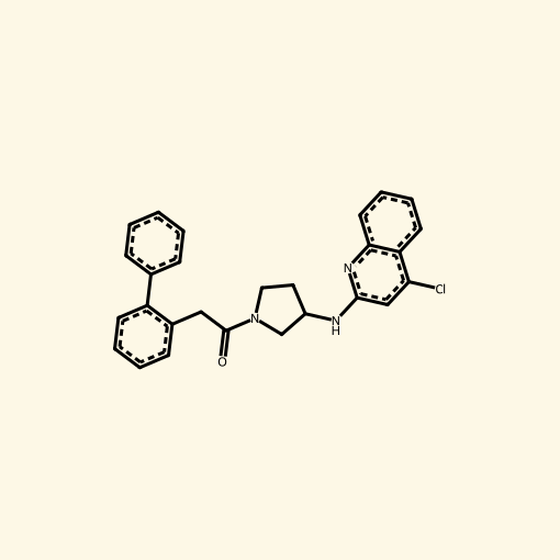 O=C(Cc1ccccc1-c1ccccc1)N1CCC(Nc2cc(Cl)c3ccccc3n2)C1